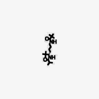 CC(C)C(=O)N[C@@H](CCCCNC(=O)C(C)(C)C)C(C)(C)C